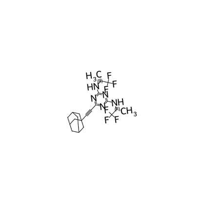 C[C@@H](Nc1nc(C#CC23CC4CC(CC(C4)C2)C3)nc(N[C@H](C)C(F)(F)F)n1)C(F)(F)F